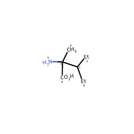 CCC(CC)C(C)(N)C(=O)O